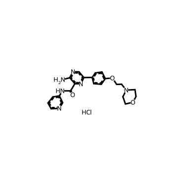 Cl.Nc1ncc(-c2ccc(OCCN3CCOCC3)cc2)nc1C(=O)Nc1cccnc1